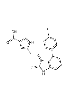 O=C1Nc2cccc(-c3ccc(F)cc3)c2C1=CCc1cc(C(=O)O)c[nH]1